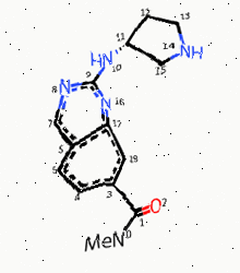 CNC(=O)c1ccc2cnc(N[C@@H]3CCNC3)nc2c1